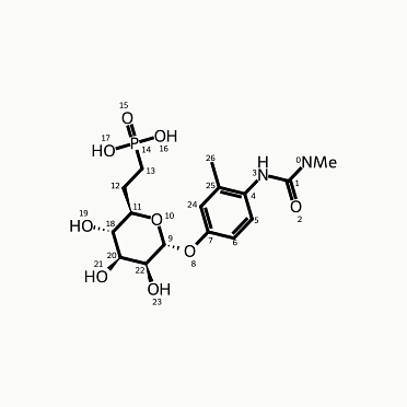 CNC(=O)Nc1ccc(O[C@H]2O[C@H](CCP(=O)(O)O)[C@@H](O)[C@H](O)[C@@H]2O)cc1C